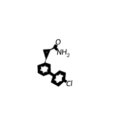 NC(=O)[C@@H]1C[C@H]1c1cccc(-c2ccc(Cl)cc2)c1